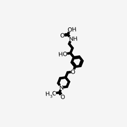 CC(=O)N1CCC(COc2cccc(C(O)CCNC(=O)O)c2)CC1